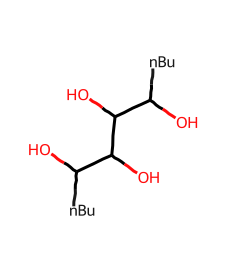 CCCCC(O)C(O)C(O)C(O)CCCC